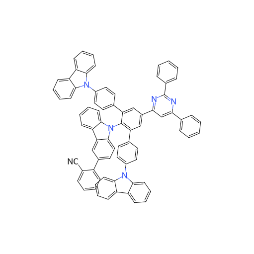 N#Cc1ccccc1-c1ccc2c(c1)c1ccccc1n2-c1c(-c2ccc(-n3c4ccccc4c4ccccc43)cc2)cc(-c2cc(-c3ccccc3)nc(-c3ccccc3)n2)cc1-c1ccc(-n2c3ccccc3c3ccccc32)cc1